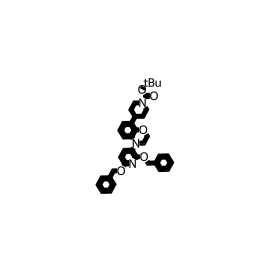 CC(C)(C)OC(=O)N1CCC(c2cccc3c2OCCN3c2ccc(OCc3ccccc3)nc2OCc2ccccc2)CC1